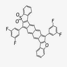 O=S1(=O)C2=C(c3ccccc31)c1cc3cc4c(cc3cc1=C2c1cc(F)cc(F)c1)-c1c(oc2ccccc12)C=4c1cc(F)cc(F)c1